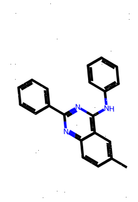 Cc1ccc2nc(-c3ccccc3)nc(Nc3ccccc3)c2c1